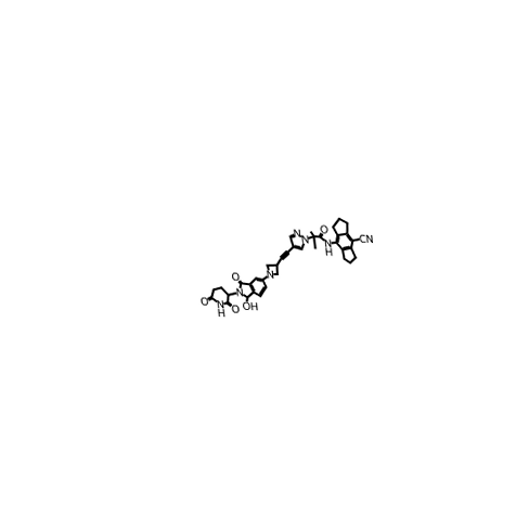 CC(C)(C(=O)Nc1c2c(c(C#N)c3c1CCC3)CCC2)n1cc(C#CC2CN(c3ccc4c(c3)C(=O)N(C3CCC(=O)NC3=O)C4O)C2)cn1